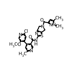 COc1cnc(Cl)cc1-c1cc(C)ncc1C(=O)Nc1nc2c(s1)CN(C(=O)c1cc(C)n(C)n1)C2